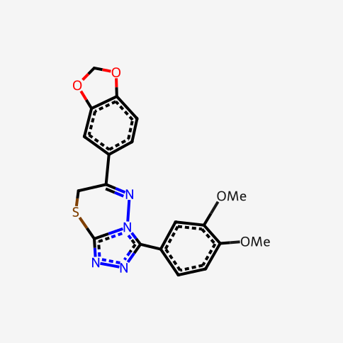 COc1ccc(-c2nnc3n2N=C(c2ccc4c(c2)OCO4)CS3)cc1OC